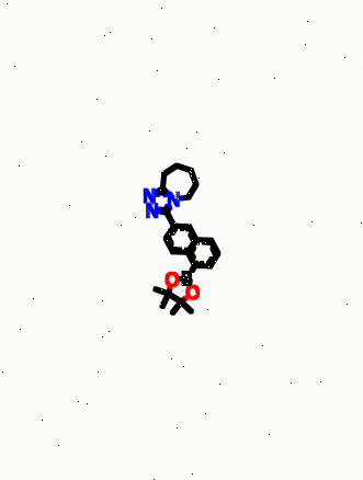 CC1(C)OB(c2cccc3cc(-c4nnc5n4CCCCC5)ccc23)OC1(C)C